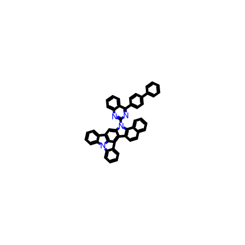 c1ccc(-c2ccc(-c3nc(-n4c5cc6c7ccccc7n7c8ccccc8c(c5c5ccc8ccccc8c54)c67)nc4ccccc34)cc2)cc1